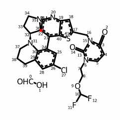 O=CO.O=c1ccn(CCOC(F)F)c(=O)n1Cc1cc2nccc(-c3cc(Cl)cc4c3N([C@H]3CCNC3)CCC4)c2s1